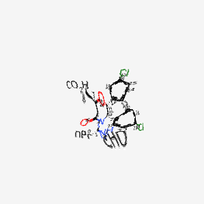 CCC[C@@H](NC=O)N1C(=O)[C@@H](CC(=O)O)O[C@H](c2cccc(Cl)c2)[C@@H]1c1ccc(Cl)cc1